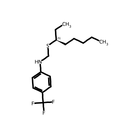 CCCCC[C@H](CC)SCNc1ccc(C(F)(F)F)cc1